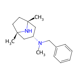 CN(Cc1ccccc1)[C@@H]1C[C@]2(C)CC[C@](C)(C1)N2